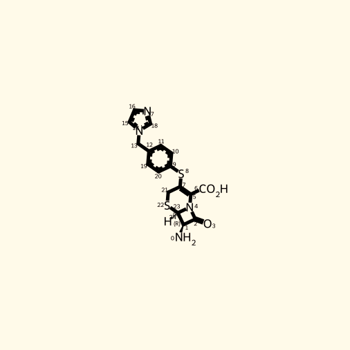 N[C@@H]1C(=O)N2C(C(=O)O)=C(Sc3ccc(Cn4ccnc4)cc3)CS[C@H]12